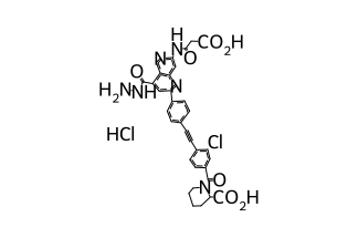 Cl.NNC(=O)c1cc(-c2ccc(C#Cc3ccc(C(=O)N4CCCCC4C(=O)O)cc3Cl)cc2)nc2cc(NC(=O)CC(=O)O)ncc12